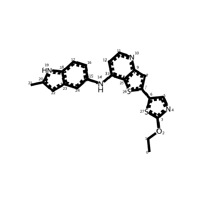 CCOc1ncc(-c2cc3nccc(Nc4ccc5[nH]c(C)cc5c4)c3s2)s1